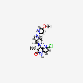 CC(C)Oc1ccc(N2CC[C@@H]3CN(c4c(C#N)c(=O)n(C)c5ccc(Cl)nc45)CC[C@@H]32)nc1